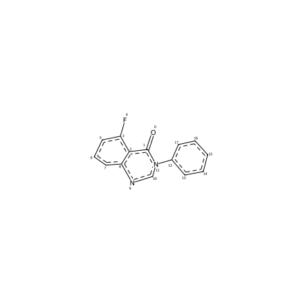 O=c1c2c(F)cccc2ncn1-c1ccccc1